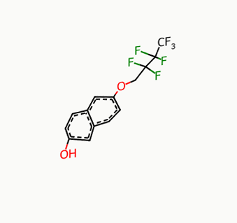 Oc1ccc2cc(OCC(F)(F)C(F)(F)C(F)(F)F)ccc2c1